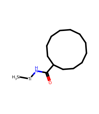 O=C([NH][Ti][SiH3])C1CCCCCCCCCCC1